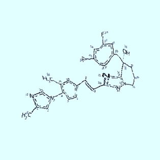 Cc1cn(-c2ccc(/C=C/c3nc4n(n3)CCC[C@]4(O)c3cc(F)cc(F)c3)cc2C)cn1